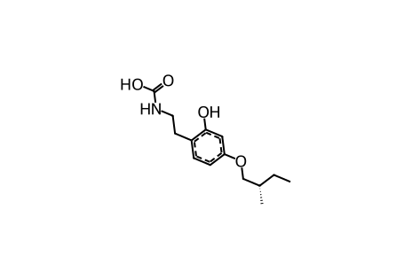 CC[C@H](C)COc1ccc(CCNC(=O)O)c(O)c1